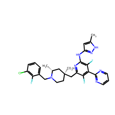 Cc1cc(Nc2nc(C[C@@]3(C(=O)O)CCN(Cc4cccc(Cl)c4F)[C@H](C)C3)c(F)c(-c3ncccn3)c2F)n[nH]1